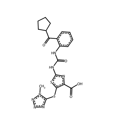 Cn1nnnc1Sc1sc(NC(=O)Nc2ccccc2C(=O)C2CCCC2)nc1C(=O)O